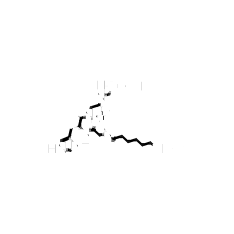 CCCCCCCCCCCCCCCC(=O)NCC(=O)N[C@@H](Cc1c[nH]cn1)C(=O)NCC(=O)NCC(=O)O